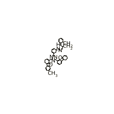 C=C(/C=N\NC1C=CC=C(c2nc(C3=CCCc4c3oc3cc(C)ccc43)nc(-c3cccc4c5c(oc34)C=CCC5)n2)C1)/C=c1/ccccc1=C